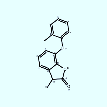 Cc1ccccc1Oc1cccc2c1OC(=O)C2C